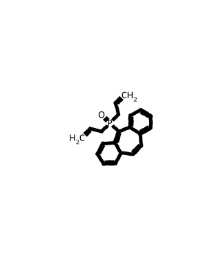 C=CCP(=O)(CC=C)C1=C2C=CC=CC2C=Cc2ccccc21